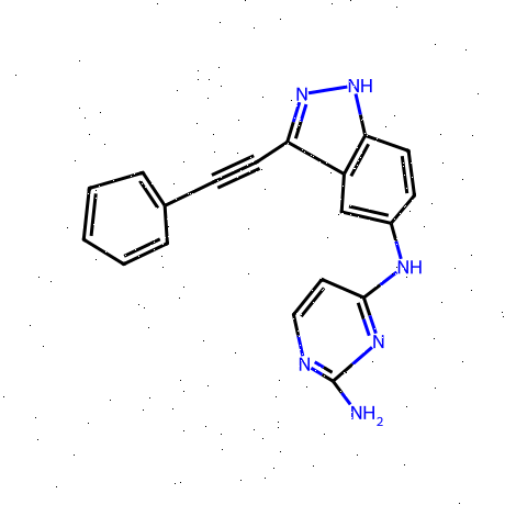 Nc1nccc(Nc2ccc3[nH]nc(C#Cc4ccccc4)c3c2)n1